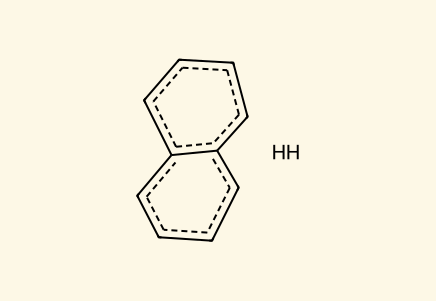 [HH].c1ccc2ccccc2c1